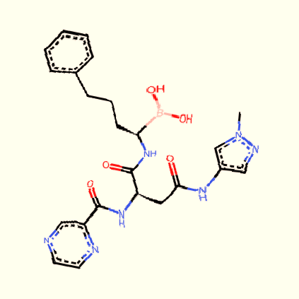 Cn1cc(NC(=O)C[C@@H](NC(=O)c2cnccn2)C(=O)N[C@@H](CCCc2ccccc2)B(O)O)cn1